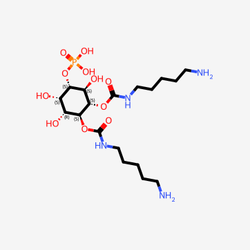 NCCCCCNC(=O)O[C@H]1[C@H](O)[C@H](O)[C@H](OP(=O)(O)O)[C@@H](O)[C@@H]1OC(=O)NCCCCCN